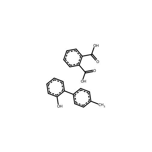 Cc1ccc(-c2ccccc2O)cc1.O=C(O)c1ccccc1C(=O)O